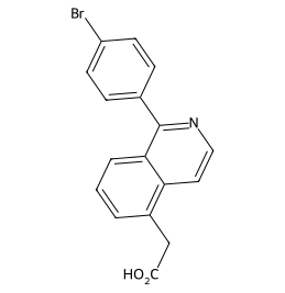 O=C(O)Cc1cccc2c(-c3ccc(Br)cc3)nccc12